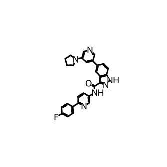 O=C(Nc1ccc(-c2ccc(F)cc2)nc1)c1n[nH]c2ccc(-c3cncc(N4CCCC4)c3)cc12